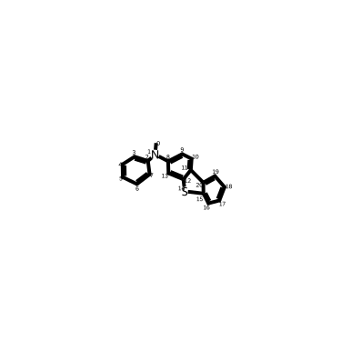 CN(c1ccccc1)c1ccc2c(c1)sc1ccccc12